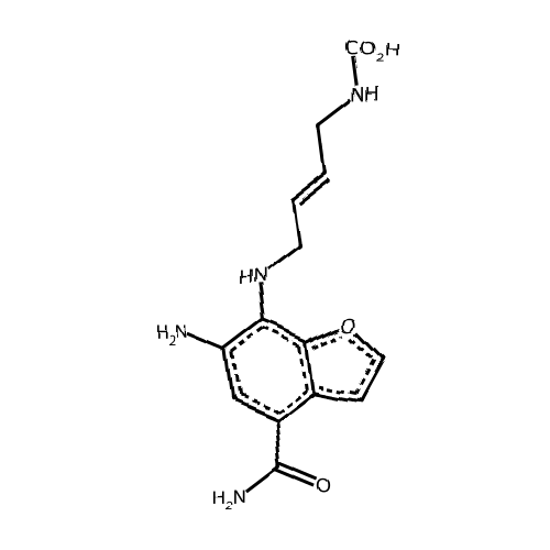 NC(=O)c1cc(N)c(NCC=CCNC(=O)O)c2occc12